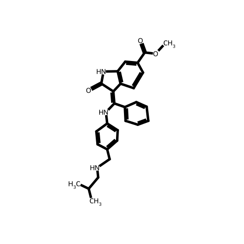 COC(=O)c1ccc2c(c1)NC(=O)/C2=C(\Nc1ccc(CNCC(C)C)cc1)c1ccccc1